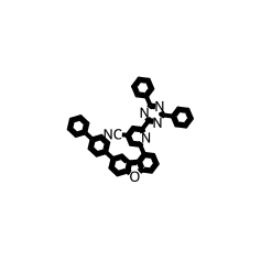 N#Cc1cc(-c2nc(-c3ccccc3)nc(-c3ccccc3)n2)nc(-c2cccc3oc4ccc(-c5ccc(-c6ccccc6)cc5)cc4c23)c1